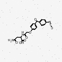 NC(=O)CC(NC(=O)COc1ccc(C(=O)c2ccc(N=C=O)cc2)cc1)C(=O)O